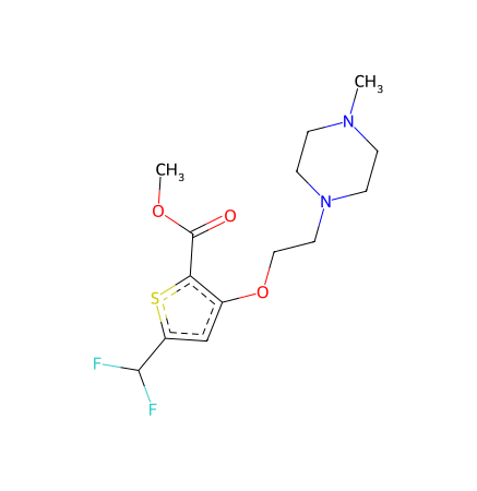 COC(=O)c1sc(C(F)F)cc1OCCN1CCN(C)CC1